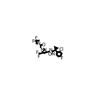 O=C(Cn1nc(-c2nc(C3(c4ccc(F)cc4Cl)CC3)no2)cc1C(F)F)N1CC(F)(F)C1